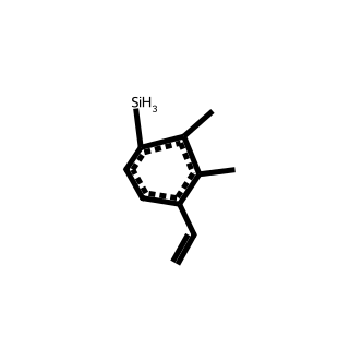 C=Cc1ccc([SiH3])c(C)c1C